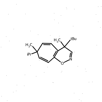 CC(C)C1(C)C=CC2=C(C=C1)C(C)(C(C)(C)C)C=NO2